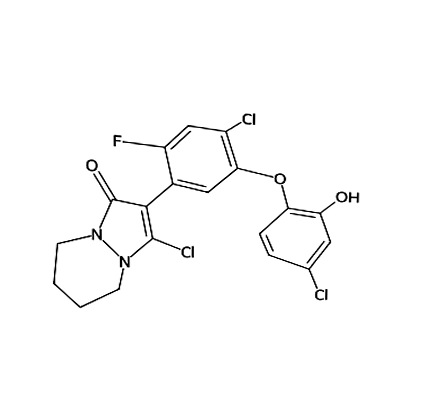 O=c1c(-c2cc(Oc3ccc(Cl)cc3O)c(Cl)cc2F)c(Cl)n2n1CCCC2